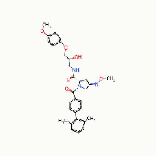 CO/N=C1\C[C@@H](C(=O)NC[C@H](O)COc2ccc(OC)cc2)N(C(=O)c2ccc(-c3c(C)cccc3C)cc2)C1